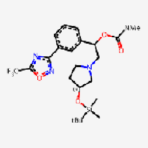 CNC(=O)OC(CN1CC[C@H](O[Si](C)(C)C(C)(C)C)C1)c1cccc(-c2noc(C(F)(F)F)n2)c1